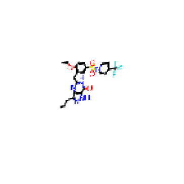 CCCc1n[nH]c2c(=O)[nH]c(Cc3cc(S(=O)(=O)N4CCC(C(F)(F)F)CC4)ccc3OCC)nc12